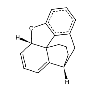 C1=C[C@@H]2Oc3cccc4c3C23CCC[C@H](C4)C3=C1